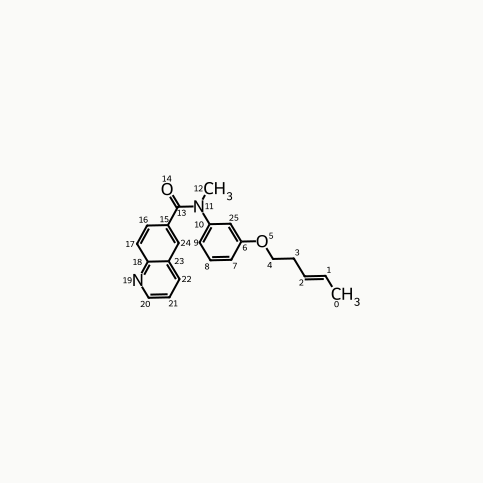 CC=CCCOc1cccc(N(C)C(=O)c2ccc3ncccc3c2)c1